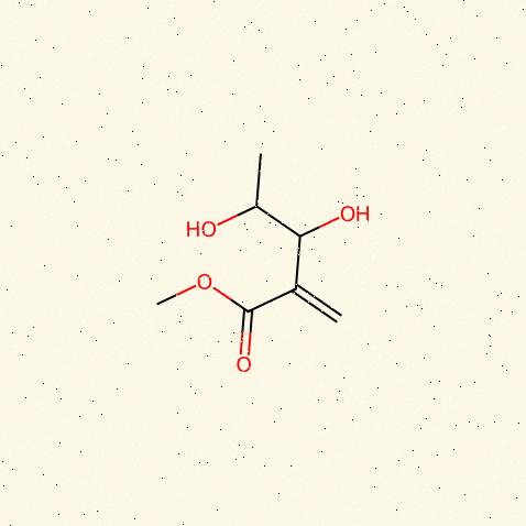 C=C(C(=O)OC)C(O)C(C)O